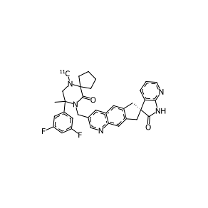 CC1(c2cc(F)cc(F)c2)CN([11CH3])C2(CCCC2)C(=O)N1Cc1cnc2cc3c(cc2c1)C[C@@]1(C3)C(=O)Nc2ncccc21